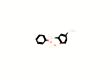 CC(C)(C)c1ccc(O[P](=O)Oc2ccccc2)c(C(C)(C)C)c1